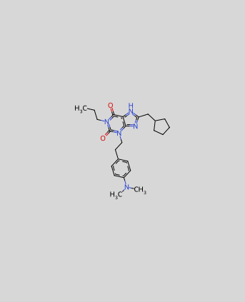 CCCn1c(=O)c2[nH]c(CC3CCCC3)nc2n(CCc2ccc(N(C)C)cc2)c1=O